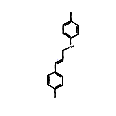 Cc1ccc(/C=C/CNc2ccc(C)cc2)cc1